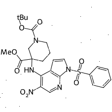 COC(=O)C1(Nc2c([N+](=O)[O-])cnc3c2ccn3S(=O)(=O)c2ccccc2)CCCN(C(=O)OC(C)(C)C)C1